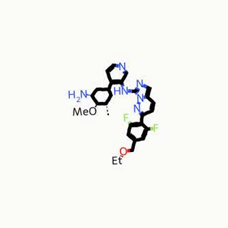 CCOCc1cc(F)c(-c2ccc3cnc(Nc4cnccc4C4C[C@@H](N)[C@@H](OC)[C@@H](C)C4)n3n2)c(F)c1